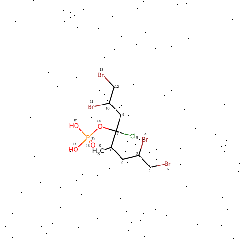 CC(CC(Br)CBr)C(Cl)(CC(Br)CBr)OP(=O)(O)O